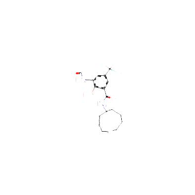 O=CNc1cc(C(F)(F)F)cc(C(=O)NC2CCCCCCCC2)c1O